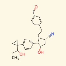 CCC(O)C1(c2ccc(C3C(CCc4ccc(C=O)cc4)[C@H](C#N)C[C@H]3O)cc2)CC1